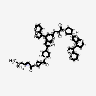 CN(C)C/C=C/C(=O)N1CC(C(=O)N2CCC(c3cc4c(-c5cnn6ncccc56)cc(C[C@H](Cl)C(=O)N5CC[C@H](c6cc7c(-c8cnn9ncccc89)ccnc7[nH]6)C5)nc4[nH]3)CC2)C1